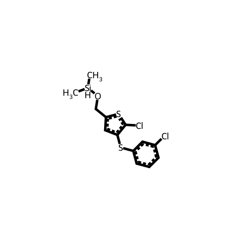 C[SiH](C)OCc1cc(Sc2cccc(Cl)c2)c(Cl)s1